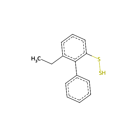 CCc1cccc(SS)c1-c1ccccc1